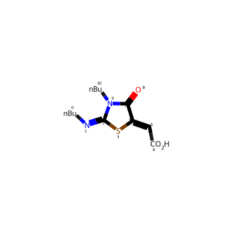 CCCC/N=C1/S/C(=C\C(=O)O)C(=O)N1CCCC